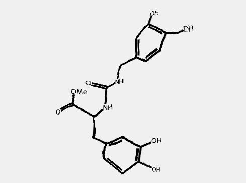 COC(=O)[C@H](Cc1ccc(O)c(O)c1)NC(=O)NCc1ccc(O)c(O)c1